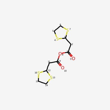 O=C(CC1SCCS1)OC(=O)CC1SCCS1